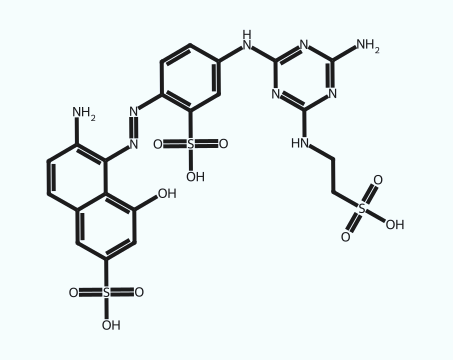 Nc1nc(NCCS(=O)(=O)O)nc(Nc2ccc(/N=N/c3c(N)ccc4cc(S(=O)(=O)O)cc(O)c34)c(S(=O)(=O)O)c2)n1